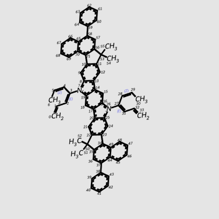 C=C/C=C(\C=C/C)n1c2cc3c(cc2c2cc4c(cc21)c1cc2c(cc1n4C(/C=C\C)=C/C=C)-c1c(cc(-c4ccccc4)c4ccccc14)C2(C)C)C(C)(C)c1cc(-c2ccccc2)c2ccccc2c1-3